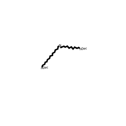 CCCCCCCCCCCCCCCCCCCCCC/C=N\CCCCCCCCCCCCCCCCCCCC